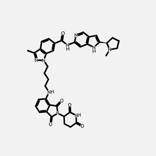 Cc1nn(CCCCNc2cccc3c2C(=O)N(C2CCC(=O)NC2=O)C3=O)c2cc(C(=O)Nc3cc4[nH]c([C@H]5CCCN5C)cc4cn3)ccc12